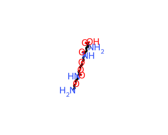 NCCOCCNC(=O)COCCOCCNC(=O)CC[C@@H](N)C(=O)O